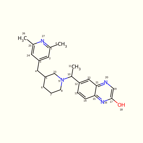 Cc1cc(CC2CCCN(C(C)c3ccc4nc(O)cnc4c3)C2)cc(C)n1